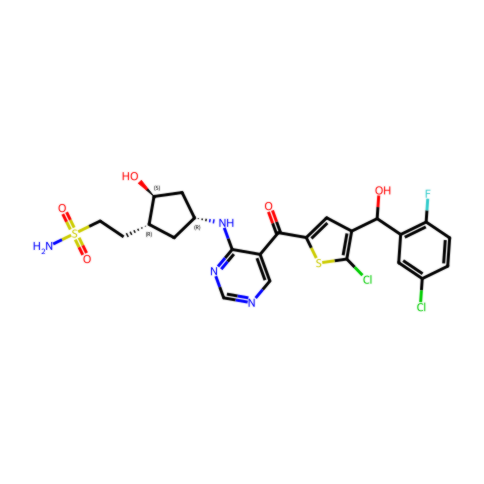 NS(=O)(=O)CC[C@H]1C[C@@H](Nc2ncncc2C(=O)c2cc(C(O)c3cc(Cl)ccc3F)c(Cl)s2)C[C@@H]1O